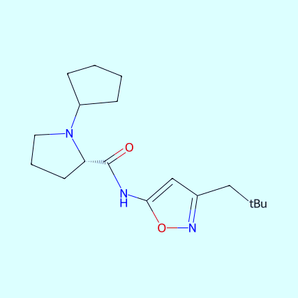 CC(C)(C)Cc1cc(NC(=O)[C@@H]2CCCN2C2CCCC2)on1